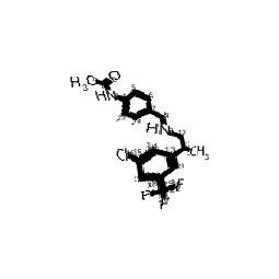 CC(=O)Nc1ccc(CNCC(C)c2cc(Cl)cc(C(F)(F)F)c2)cc1